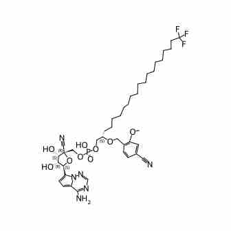 COc1cc(C#N)ccc1CO[C@@H](CCCCCCCCCCCCCCCCCC(F)(F)F)COP(=O)(O)OC[C@@]1(C#N)O[C@@H](c2ccc3c(N)ncnn23)[C@H](O)[C@@H]1O